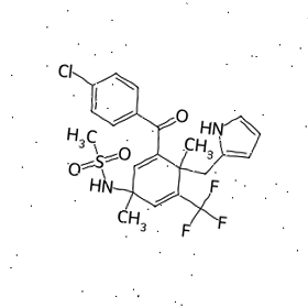 CC1(NS(C)(=O)=O)C=C(C(=O)c2ccc(Cl)cc2)C(C)(Cc2ccc[nH]2)C(C(F)(F)F)=C1